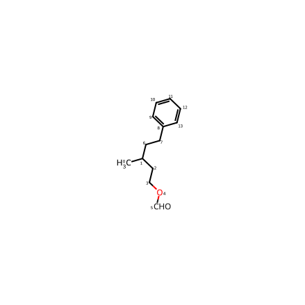 CC(CCOC=O)CCc1ccccc1